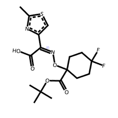 Cc1nc(/C(=N/OC2(C(=O)OC(C)(C)C)CCC(F)(F)CC2)C(=O)O)cs1